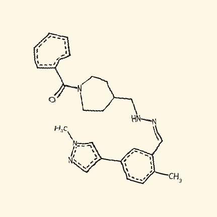 Cc1ccc(-c2cnn(C)c2)cc1/C=N\NCC1CCN(C(=O)c2ccccc2)CC1